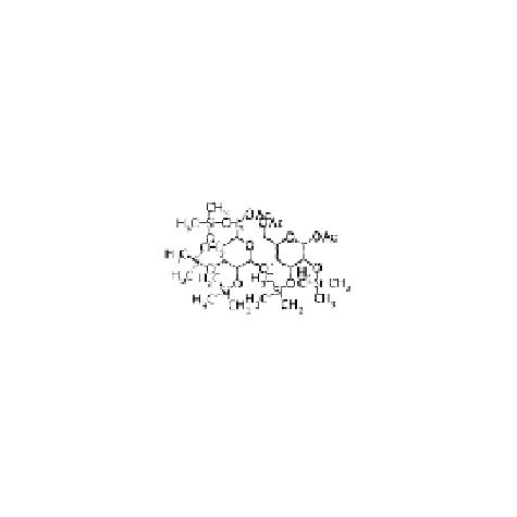 CC(=O)OCC1O[C@@H](O[C@@H]2C(COC(C)=O)OC(OC(C)=O)[C@@H](O[Si](C)(C)C)C2O[Si](C)(C)C)C(O[Si](C)(C)C)C(O[Si](C)(C)C)[C@@H]1O[Si](C)(C)C